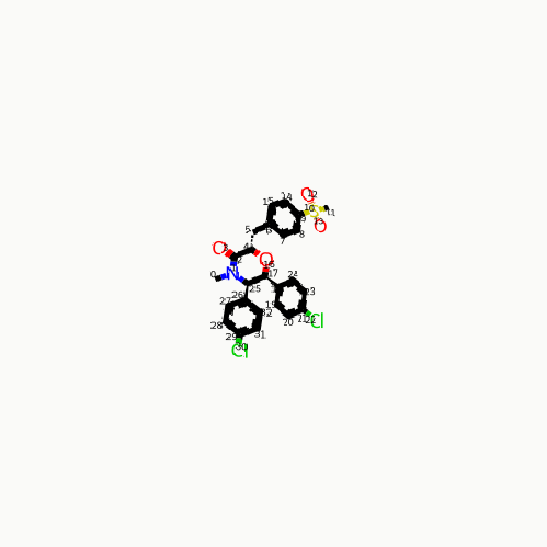 CN1C(=O)[C@H](Cc2ccc(S(C)(=O)=O)cc2)O[C@@H](c2ccc(Cl)cc2)[C@H]1c1ccc(Cl)cc1